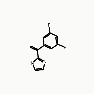 C=C(c1cc(F)cc(F)c1)c1ncc[nH]1